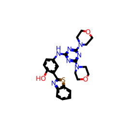 Oc1ccc(Nc2nc(N3CCOCC3)nc(N3CCOCC3)n2)cc1-c1nc2ccccc2s1